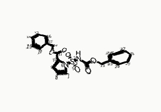 O=C(NS(=O)(=O)n1cccc1C(=O)OCc1ccccc1)OCc1ccccc1